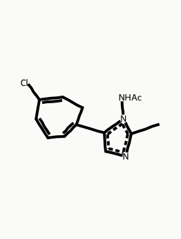 CC(=O)Nn1c(C2=CC=CC(Cl)=CC2)cnc1C